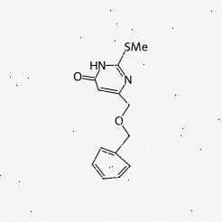 CSc1nc(COCc2ccccc2)cc(=O)[nH]1